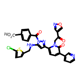 O=C(O)c1ccc(C(=O)n2nc(-c3ccc(-c4cccnc4)c(=O)n3CC(=O)c3cnoc3)cc2NCc2ccc(Cl)s2)cc1